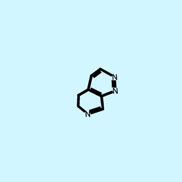 C1=NCCc2ccnnc21